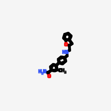 Cc1cc(C(N)=O)ccc1-c1ccc(CNCC2Cc3ccccc3O2)cc1